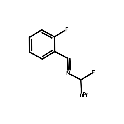 CCCC(F)N=Cc1ccccc1F